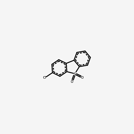 O=S1(=O)c2ccccc2-c2ccc(Cl)cc21